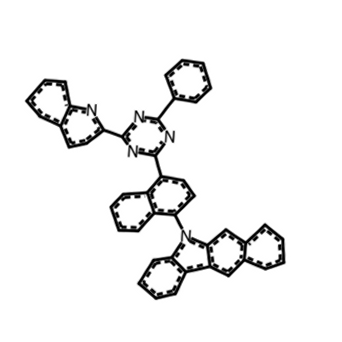 c1ccc(-c2nc(-c3ccc4ccccc4n3)nc(-c3ccc(-n4c5ccccc5c5cc6ccccc6cc54)c4ccccc34)n2)cc1